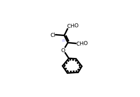 O=C/C(Cl)=C(\C=O)Oc1ccccc1